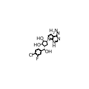 N/N=c1/nc[nH]c2c1ccn2[C@@H]1C[C@H](C(O)c2ccc(Cl)c(F)c2)[C@@H](O)[C@H]1O